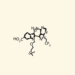 C[Si](C)(C)CCOCn1c(-c2nn(CC(F)(F)F)c3ncnc(N)c23)c(Cl)c2ccc(C(=O)O)cc21